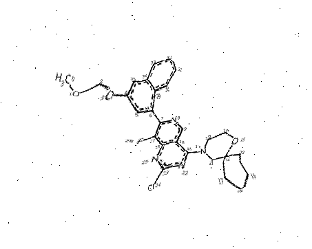 COCOc1cc(-c2ncc3c(N4CCOC5(CCCC5)C4)nc(Cl)nc3c2F)c2ccccc2c1